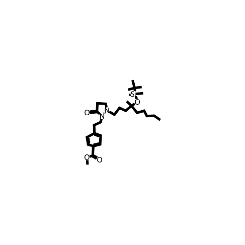 CCCCCC(C)(CCCN1CCC(=O)N1CCc1ccc(C(=O)OC)cc1)O[Si](C)(C)C(C)(C)C